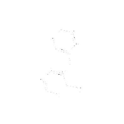 Oc1ccccc1Oc1[c]cccc1